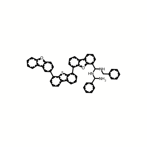 NC(NC(NCc1ccccc1)c1cccc2c1oc1c(-c3cccc4c3sc3c(-c5ccc6oc7ccccc7c6c5)cccc34)cccc12)c1ccccc1